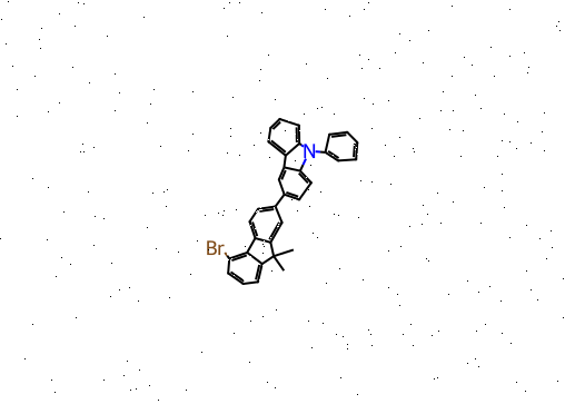 CC1(C)c2cc(-c3ccc4c(c3)c3ccccc3n4-c3ccccc3)ccc2-c2c(Br)cccc21